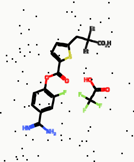 CCC(CC)(Cc1ccc(C(=O)Oc2ccc(C(=N)N)cc2F)s1)C(=O)O.O=C(O)C(F)(F)F